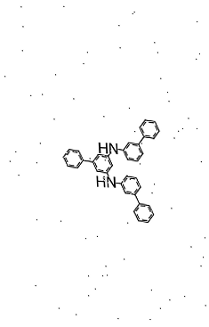 c1ccc(-c2cccc(Nc3cc(Nc4cccc(-c5ccccc5)c4)cc(-c4ccccc4)c3)c2)cc1